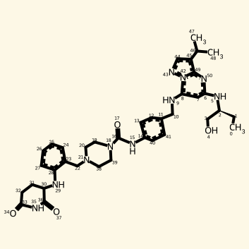 CC[C@@H](CO)Nc1cc(NCc2ccc(NC(=O)N3CCN(Cc4ccccc4NC4CCC(=O)NC4=O)CC3)cc2)n2ncc(C(C)C)c2n1